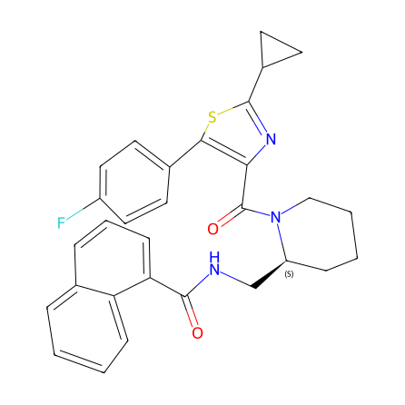 O=C(NC[C@@H]1CCCCN1C(=O)c1nc(C2CC2)sc1-c1ccc(F)cc1)c1cccc2ccccc12